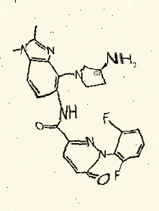 Cc1nc2c(N3CC[C@H](N)C3)c(NC(=O)c3ccc(=O)n(-c4c(F)cccc4F)n3)ccc2n1C